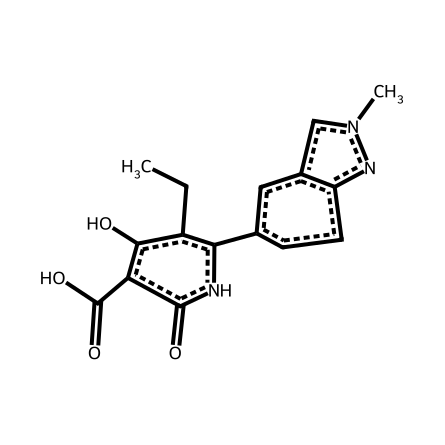 CCc1c(-c2ccc3nn(C)cc3c2)[nH]c(=O)c(C(=O)O)c1O